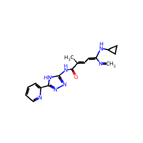 C=N/C(=C\C=C(/C)C(=O)Nc1nnc(-c2ccccn2)[nH]1)NC1CC1